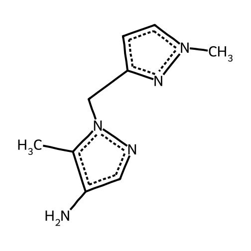 Cc1c(N)cnn1Cc1ccn(C)n1